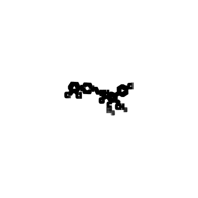 CCn1c(-c2ccc(Cl)cc2)cc(C(=O)NCCN2CCN(c3cccc(Cl)c3Cl)CC2)c1C